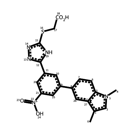 Cc1cn(C)c2ccc(-c3cc(-c4nnc(SCC(=O)O)[nH]4)cc([N+](=O)O)c3)cc12